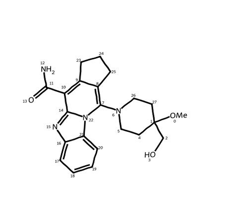 COC1(CO)CCN(c2c3c(c(C(N)=O)c4nc5ccccc5n24)CCC3)CC1